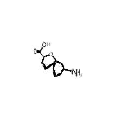 Nc1ccc2c(c1)O[C@H](C(=O)O)CC2